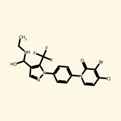 CCNC(O)c1cnn(-c2ccc(-n3ccc(Cl)c(Br)c3=O)cc2)c1C(F)(F)F